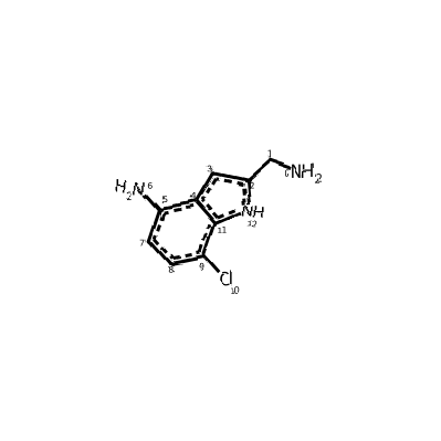 NCc1cc2c(N)ccc(Cl)c2[nH]1